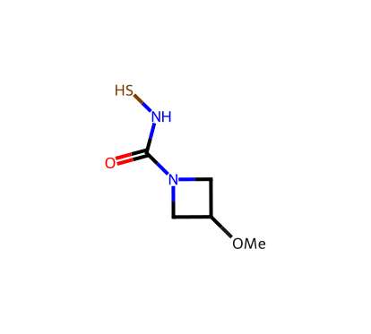 COC1CN(C(=O)NS)C1